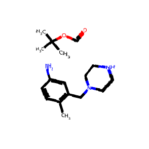 CC(C)(C)OC=O.Cc1ccc(N)cc1CN1CCNCC1